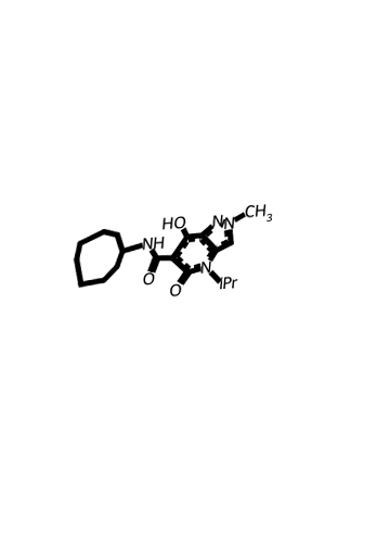 CC(C)n1c(=O)c(C(=O)NC2CCCCCCC2)c(O)c2nn(C)cc21